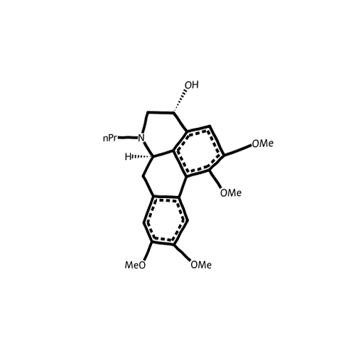 CCCN1C[C@H](O)c2cc(OC)c(OC)c3c2[C@H]1Cc1cc(OC)c(OC)cc1-3